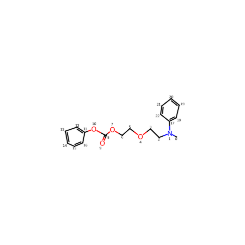 CN(CCOCCOC(=O)Oc1ccccc1)c1ccccc1